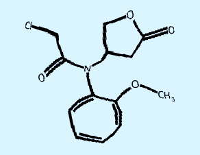 COc1ccccc1N(C(=O)CCl)C1COC(=O)C1